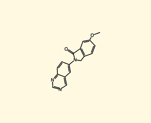 COc1ccc2c(c1)C(=O)N(c1ccc3ncncc3c1)C2